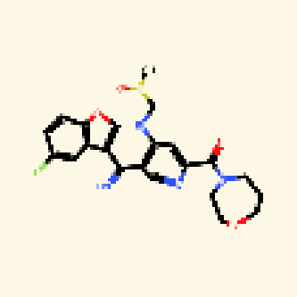 C[S+]([O-])CNc1cc(C(=O)N2CCCOCC2)ncc1C(=N)c1coc2ccc(F)cc12